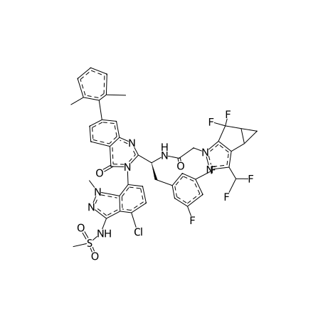 Cc1cccc(C)c1-c1ccc2c(=O)n(-c3ccc(Cl)c4c(NS(C)(=O)=O)nn(C)c34)c([C@H](Cc3cc(F)cc(F)c3)NC(=O)Cn3nc(C(F)F)c4c3C(F)(F)C3CC43)nc2c1